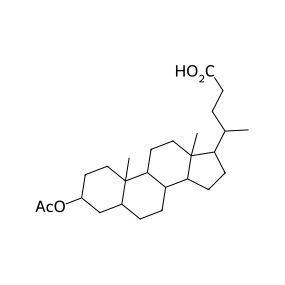 CC(=O)OC1CCC2(C)C(CCC3C2CCC2(C)C(C(C)CCC(=O)O)CCC32)C1